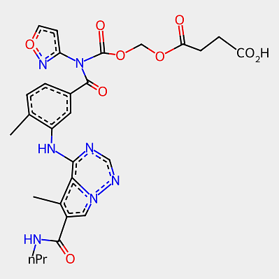 CCCNC(=O)c1cn2ncnc(Nc3cc(C(=O)N(C(=O)OCOC(=O)CCC(=O)O)c4ccon4)ccc3C)c2c1C